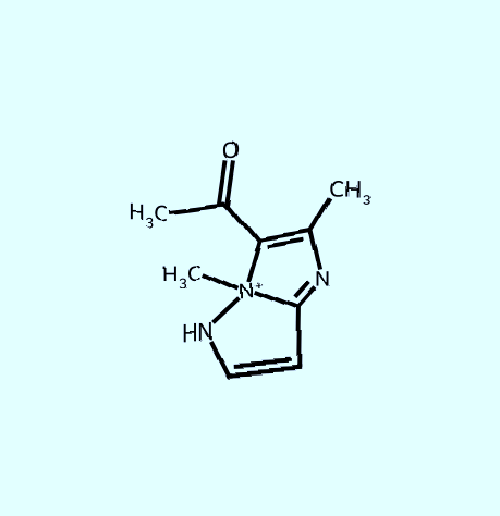 CC(=O)C1=C(C)N=C2C=CN[N+]21C